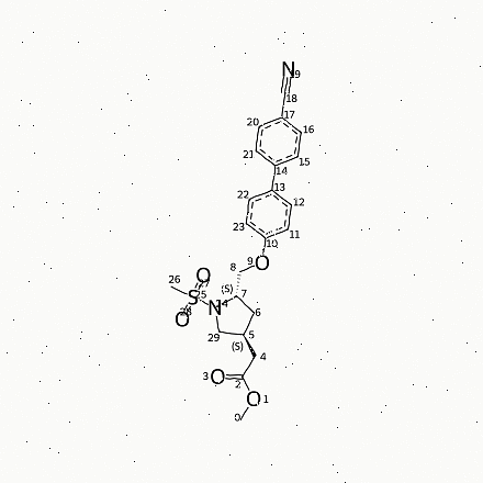 COC(=O)C[C@@H]1C[C@@H](COc2ccc(-c3ccc(C#N)cc3)cc2)N(S(C)(=O)=O)C1